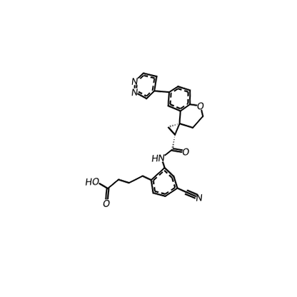 N#Cc1ccc(CCCC(=O)O)c(NC(=O)[C@@H]2C[C@]23CCOc2ccc(-c4ccnnc4)cc23)c1